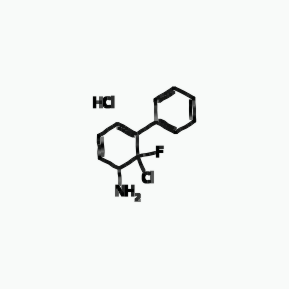 Cl.NC1C=CC=C(c2ccccc2)C1(F)Cl